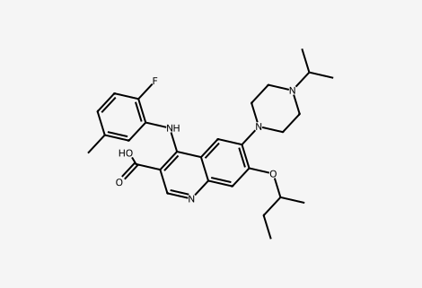 CCC(C)Oc1cc2ncc(C(=O)O)c(Nc3cc(C)ccc3F)c2cc1N1CCN(C(C)C)CC1